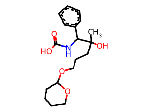 CC(O)(CCCOC1CCCCO1)C(NC(=O)O)c1ccccc1